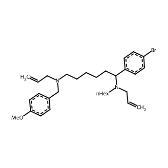 C=CCN(CCCCCC(c1ccc(Br)cc1)N(CC=C)CCCCCC)Cc1ccc(OC)cc1